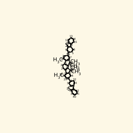 Cc1cc(-c2ccc3c(c2)sc2ccccc23)cc2c1C1=C(C3=C(CC1)c1c(C)cc(-c4ccc5c(c4)sc4ccccc45)cc1C3(C)C)C2(C)C